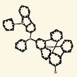 OC1(c2ccccc2-c2cc(N(c3ccccc3)c3ccc4c5ccccc5n(-c5ccccc5)c4c3)cc3ccccc23)c2ccccc2-c2cc(Br)ccc21